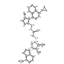 Nc1ncnc2c1ncn2[C@@H]1O[C@H](COC(=O)CSc2nnc(Br)n2-c2ccc(C3CC3)c3ccccc23)[C@@H](O)[C@H]1O